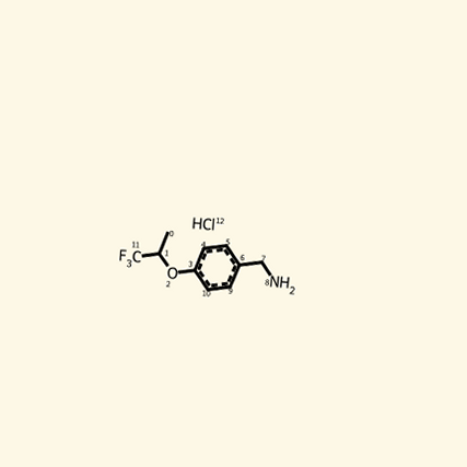 CC(Oc1ccc(CN)cc1)C(F)(F)F.Cl